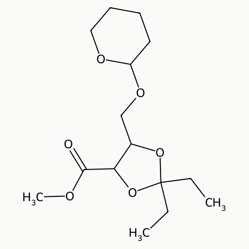 CCC1(CC)OC(COC2CCCCO2)C(C(=O)OC)O1